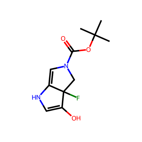 CC(C)(C)OC(=O)N1C=C2NC=C(O)C2(F)C1